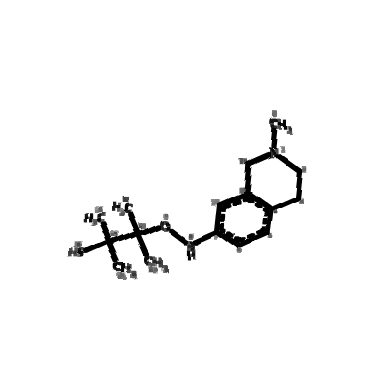 CN1CCc2ccc(BOC(C)(C)C(C)(C)S)cc2C1